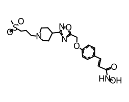 CS(=O)(=O)CCCN1CCC(c2noc(COc3ccc(C=CC(=O)NO)cc3)n2)CC1